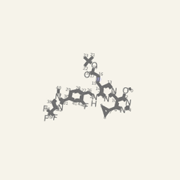 COc1ncnc(C2CC2)c1-c1ncc(/C=C/C(=O)OC(C)(C)C)c(NCc2ccc(-c3nc(C(F)(F)F)cn3C)cc2F)n1